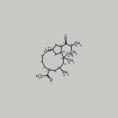 CC(=O)N1CCCO[C@@H]2CC(C(=O)C(C)C)N(C2)C(C)(C)C[C@@H](P)C1